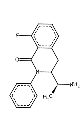 C[C@H](N)C1Cc2cccc(F)c2C(=O)N1c1ccccc1